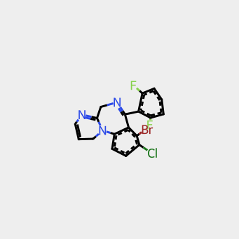 Fc1cccc(F)c1C1=NCC2=NC=CCN2c2ccc(Cl)c(Br)c21